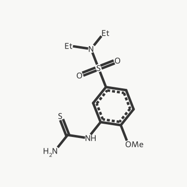 CCN(CC)S(=O)(=O)c1ccc(OC)c(NC(N)=S)c1